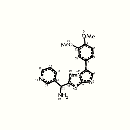 COc1ccc(-c2cnc3sc(C(N)c4cccnc4)nn23)cc1OC